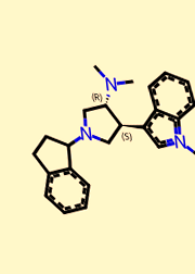 CN(C)[C@H]1CN(C2CCc3ccccc32)C[C@@H]1c1cn(C)c2ccccc12